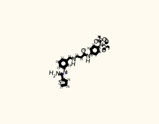 CS(=O)(=O)N(c1ccc(NC(=O)CCNCc2cccc(/N=C(\N)c3cccs3)c2)cc1)S(C)(=O)=O